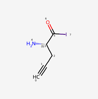 C#CC[C@H](N)C(=O)I